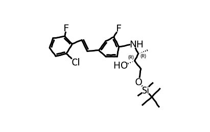 C[C@@H](Nc1ccc(C=Cc2c(F)cccc2Cl)cc1F)[C@@H](O)CO[Si](C)(C)C(C)(C)C